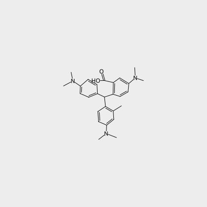 Cc1cc(N(C)C)ccc1C(c1ccc(N(C)C)cc1)c1ccc(N(C)C)cc1C(=O)O